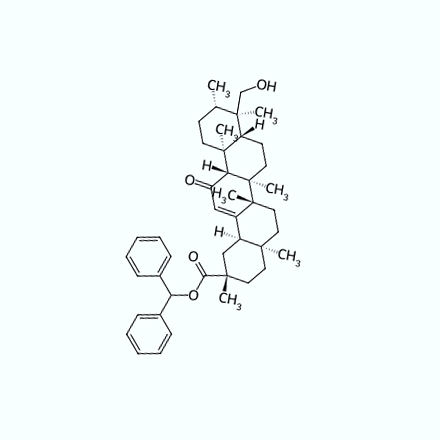 C[C@H]1CC[C@@]2(C)[C@@H](CC[C@]3(C)[C@@H]2C(=O)C=C2[C@@H]4C[C@@](C)(C(=O)OC(c5ccccc5)c5ccccc5)CC[C@]4(C)CC[C@]23C)[C@]1(C)CO